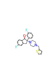 O=C1c2ccc(F)cc2CC1(c1cccc(F)c1)N1CCN(Cc2cccs2)CC1